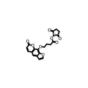 O=C(CCCOc1c2occc2cc2ccc(=O)oc12)ON1C(=O)CCC1=O